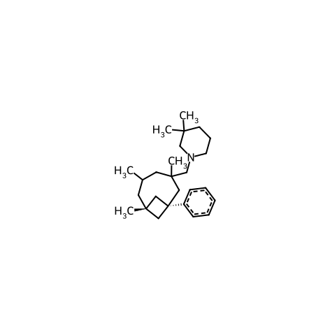 CC1CC(C)(CN2CCCC(C)(C)C2)C[C@]2(c3ccccc3)C[C@@](C)(C1)C2